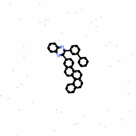 c1ccc(-c2cccc(-c3nc4ccccc4nc3-c3ccc4c(ccc5c4ccc4ccc6ccccc6c45)c3)c2)cc1